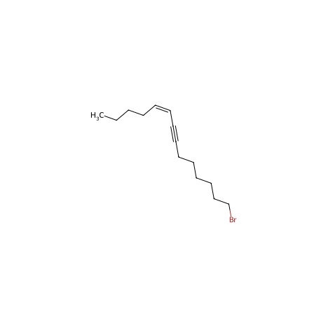 CCCC/C=C\C#CCCCCCCBr